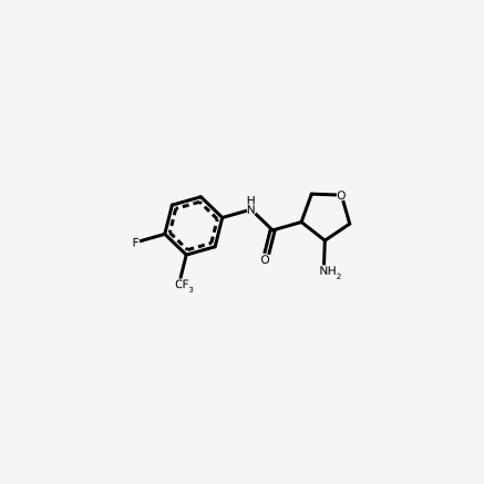 NC1COCC1C(=O)Nc1ccc(F)c(C(F)(F)F)c1